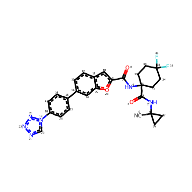 N#CC1(NC(=O)C2(NC(=O)c3cc4ccc(-c5ccc(-n6cnnn6)cc5)cc4o3)CCC(F)(F)CC2)CC1